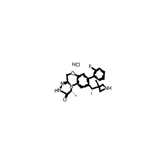 C[C@@H]1C(=O)NN=C2COc3cc(-c4ccccc4F)c([C@@H](C)C4(C)CNC4)cc3N21.Cl